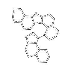 c1ccc2c(c1)ccc1c2sc2ccc3cccc(-c4coc5ccc6ccccc6c45)c3c21